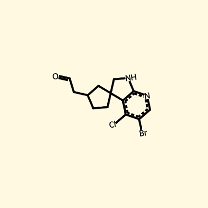 O=CCC1CCC2(CNc3ncc(Br)c(Cl)c32)C1